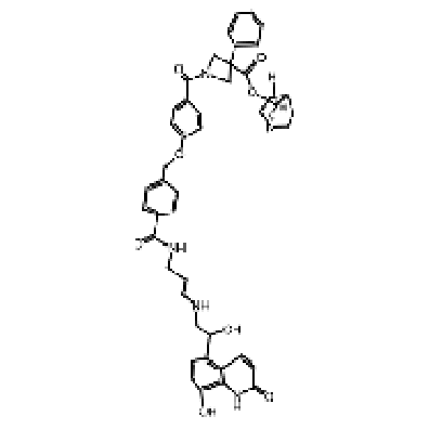 O=C(NCCCNCC(O)c1ccc(O)c2[nH]c(=O)ccc12)c1ccc(COc2ccc(C(=O)N3CC(C(=O)O[C@H]4CN5CCC4CC5)(c4ccccc4)C3)cc2)cc1